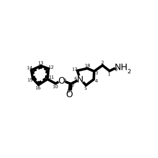 NCCC1CCN(C(=O)OCc2ccccc2)CC1